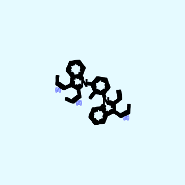 C=Cc1c(/C=C\C)c2ccccc2n1-c1cccc(-n2c(/C=C\C)c(/C=C\C)c3ccccc32)c1C